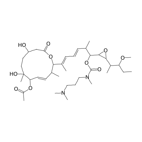 CCC(OC)C(C)C1OC1C(OC(=O)N(C)CCCN(C)C)C(C)/C=C/C=C(\C)C1OC(=O)CC(O)CCC(C)(O)C(OC(C)=O)/C=C/C1C